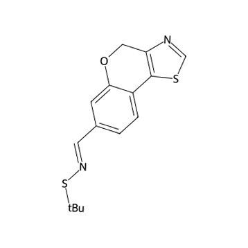 CC(C)(C)S/N=C/c1ccc2c(c1)OCc1ncsc1-2